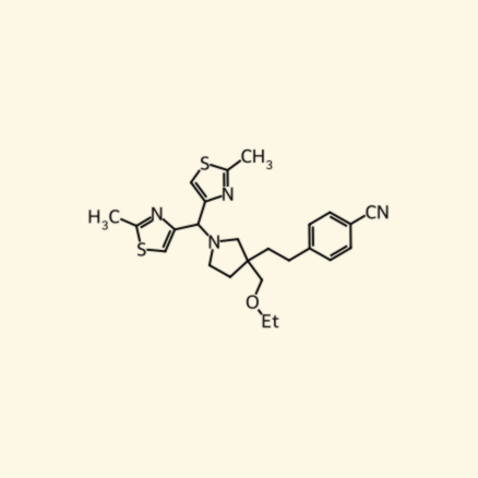 CCOCC1(CCc2ccc(C#N)cc2)CCN(C(c2csc(C)n2)c2csc(C)n2)C1